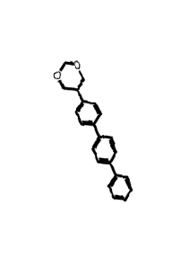 c1ccc(-c2ccc(-c3ccc(C4COCOC4)cc3)cc2)cc1